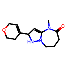 CN1C(=O)CCCN2NC(C3=CCOCC3)C=C21